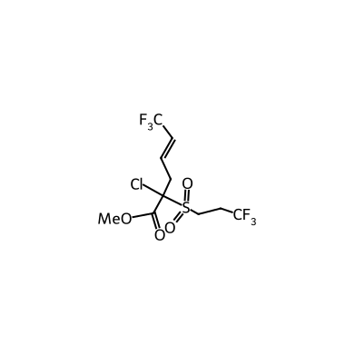 COC(=O)C(Cl)(C/C=C/C(F)(F)F)S(=O)(=O)CCC(F)(F)F